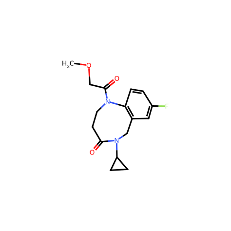 COCC(=O)N1CCC(=O)N(C2CC2)Cc2cc(F)ccc21